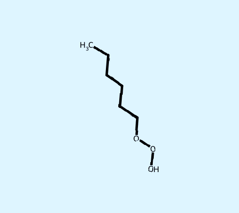 CCCCCCOOO